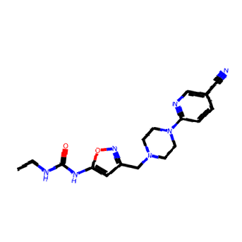 CCNC(=O)Nc1cc(CN2CCN(c3ccc(C#N)cn3)CC2)no1